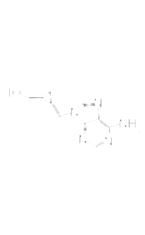 Nc1ncnc2c1ncn2/C=C1\CC1CO